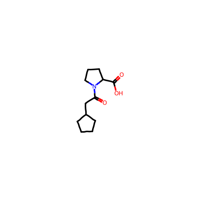 O=C(O)C1CCCN1C(=O)CC1CCCC1